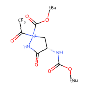 CC(C)(C)OC(=O)N[C@H]1C[N+](C(=O)OC(C)(C)C)(C(=O)C(F)(F)F)NC1=O